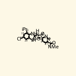 CNC(=O)c1ccc(S(=O)(=O)NC(=O)Nc2c(C(C)C)cc(Cl)cc2C(C)C)nn1